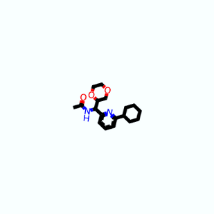 CC(=O)NC(c1cccc(C2CCCCC2)n1)C1COCCO1